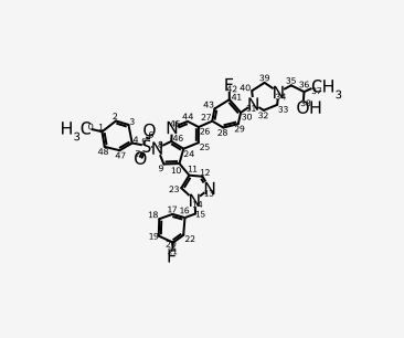 Cc1ccc(S(=O)(=O)n2cc(-c3cnn(Cc4cccc(F)c4)c3)c3cc(-c4ccc(N5CCN(CC(C)O)CC5)c(F)c4)cnc32)cc1